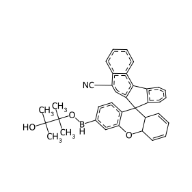 CC(C)(O)C(C)(C)OBc1ccc2c(c1)OC1C=CC=CC1C21c2ccccc2-c2c1cc(C#N)c1ccccc21